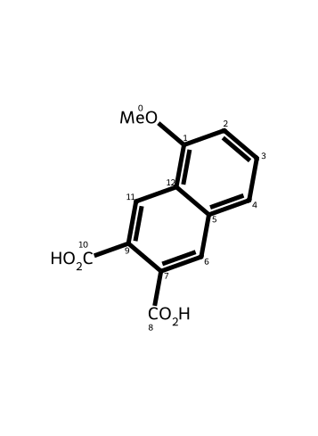 COc1cccc2cc(C(=O)O)c(C(=O)O)cc12